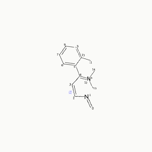 C=N/C=C\C(c1ccccc1C)=[N+](C)C